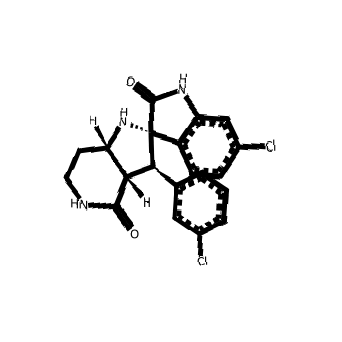 O=C1NCC[C@@H]2N[C@@]3(C(=O)Nc4cc(Cl)ccc43)[C@@H](c3cccc(Cl)c3)[C@H]12